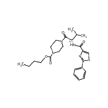 CCCCOC(=O)N1CCN(C(=O)[C@@H](NC(=O)c2csc(-c3ccccc3)n2)C(C)C)CC1